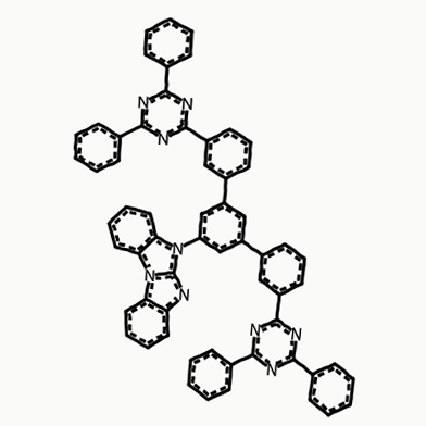 c1ccc(-c2nc(-c3ccccc3)nc(-c3cccc(-c4cc(-c5cccc(-c6nc(-c7ccccc7)nc(-c7ccccc7)n6)c5)cc(-n5c6ccccc6n6c7ccccc7nc56)c4)c3)n2)cc1